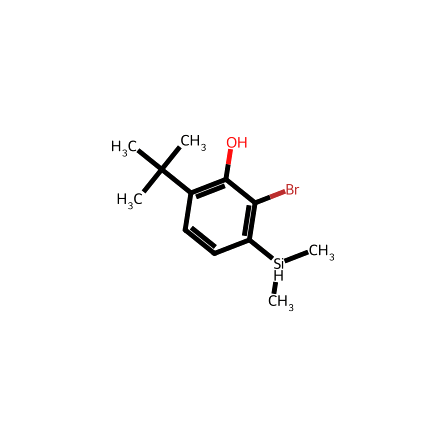 C[SiH](C)c1ccc(C(C)(C)C)c(O)c1Br